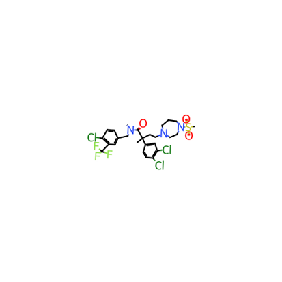 CN(Cc1ccc(Cl)c(C(F)(F)F)c1)C(=O)C(C)(CCN1CCCN(S(C)(=O)=O)CC1)c1ccc(Cl)c(Cl)c1